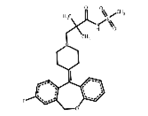 CC(C)(CN1CCC(=C2c3ccc(F)cc3COc3ccccc32)CC1)C(=O)NS(C)(=O)=O